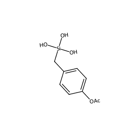 CC(=O)Oc1ccc(C[Si](O)(O)O)cc1